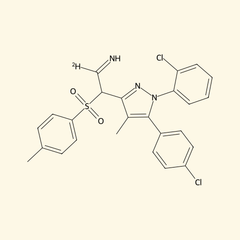 [2H]C(=N)C(c1nn(-c2ccccc2Cl)c(-c2ccc(Cl)cc2)c1C)S(=O)(=O)c1ccc(C)cc1